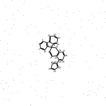 C1=CC(c2ccccc2)(c2ccccc2)Cc2cccc(-c3cccs3)c21